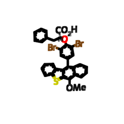 COc1c2ccccc2c(-c2cc(Br)c(O[C@H](Cc3ccccc3)C(=O)O)c(Br)c2)c2c1sc1ccccc12